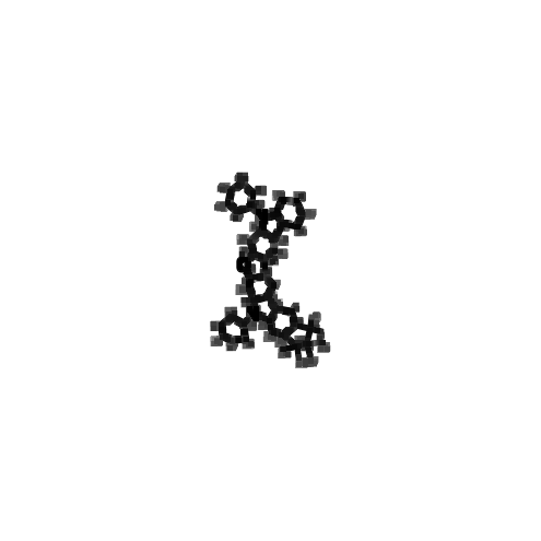 CC1(C)c2cc3c4cc5c(cc4n(-c4ccccc4)c3cc2C(C)(C)C1(C)C)oc1cc2c(cc15)c1ccccc1n2-c1ccccc1